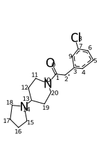 O=C([CH]c1cccc(Cl)c1)N1CCC(N2CCCC2)CC1